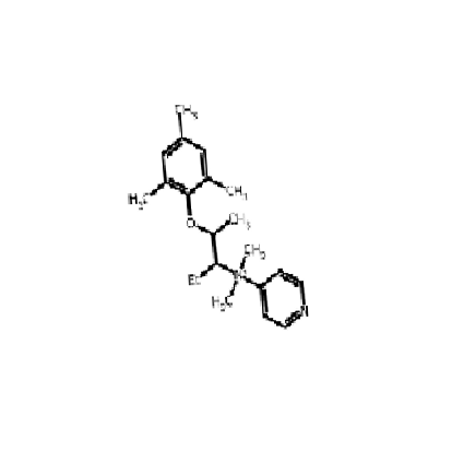 CCC(C(C)Oc1c(C)cc(C)cc1C)[N+](C)(C)c1ccncc1